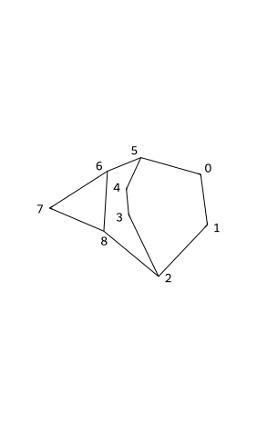 C1CC2CCC1C1CC21